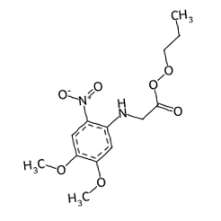 CCCOOC(=O)CNc1cc(OC)c(OC)cc1[N+](=O)[O-]